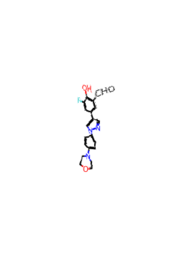 O=Cc1cc(-c2cnn(-c3ccc(N4CCOCC4)cc3)c2)cc(F)c1O